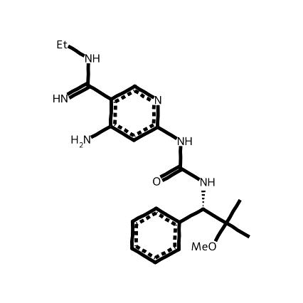 CCNC(=N)c1cnc(NC(=O)N[C@@H](c2ccccc2)C(C)(C)OC)cc1N